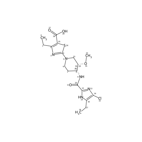 CCc1nc(N2CC[C@@H](NC(=O)c3nc(Cl)c(CC)[nH]3)[C@@H](OC)C2)sc1C(=O)O